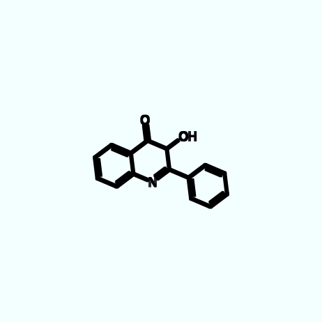 O=C1c2ccccc2N=C(c2ccccc2)C1O